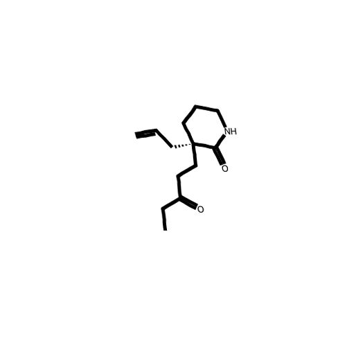 C=CC[C@]1(CCC(=O)CC)CCCNC1=O